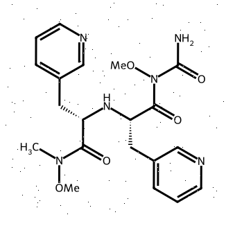 CON(C)C(=O)[C@H](Cc1cccnc1)N[C@@H](Cc1cccnc1)C(=O)N(OC)C(N)=O